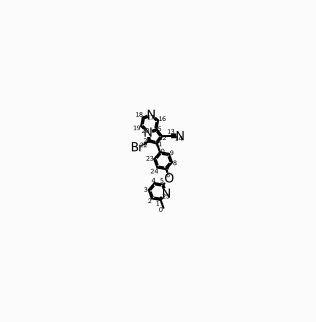 Cc1cccc(Oc2ccc(-c3c(C#N)c4cnccn4c3Br)cc2)n1